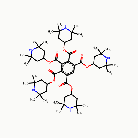 CC1(C)CC(OC(=O)c2cc(C(=O)OC3CC(C)(C)NC(C)(C)C3)c(C(=O)OC3CC(C)(C)NC(C)(C)C3)c(C(=O)OC3CC(C)(C)NC(C)(C)C3)c2C(=O)OC2CC(C)(C)NC(C)(C)C2)CC(C)(C)N1